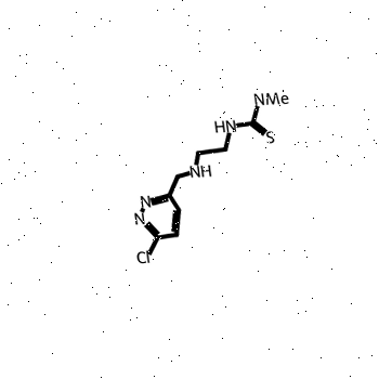 CNC(=S)NCCNCc1ccc(Cl)nn1